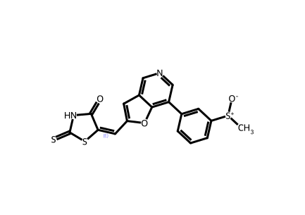 C[S+]([O-])c1cccc(-c2cncc3cc(/C=C4/SC(=S)NC4=O)oc23)c1